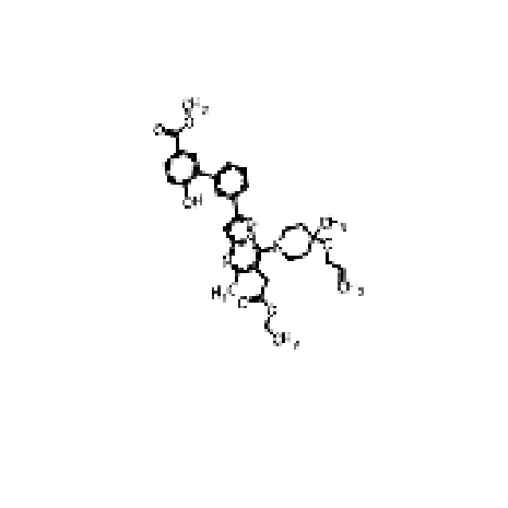 C=CCOC1(C)CCN(c2c(CC(=O)OCC)c(C)nc3cc(-c4cccc(-c5cc(C(=O)OC)ccc5O)c4)nn23)CC1